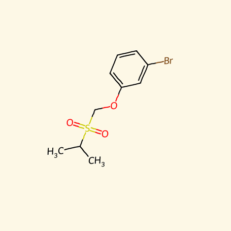 CC(C)S(=O)(=O)COc1cccc(Br)c1